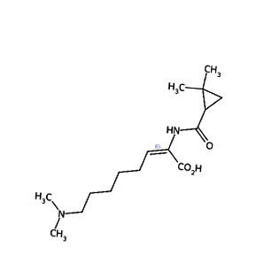 CN(C)CCCCC/C=C(/NC(=O)C1CC1(C)C)C(=O)O